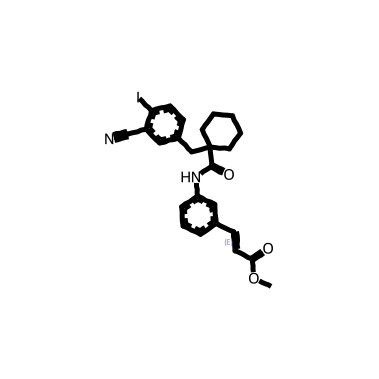 COC(=O)/C=C/c1cccc(NC(=O)C2(Cc3ccc(I)c(C#N)c3)CCCCC2)c1